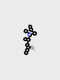 CC1(C)c2cc(-c3ccc(-c4cc(-c5ccccc5-c5ccc6ccccc6c5)nc(-c5ccccc5)n4)c4ccccc34)ccc2-c2cc3ccccc3cc21